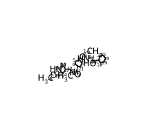 CC[C@@H](Cc1ccc(C(=O)N(C)Cc2cc(COC)[nH]n2)cc1)NC[C@H](O)c1ccccc1